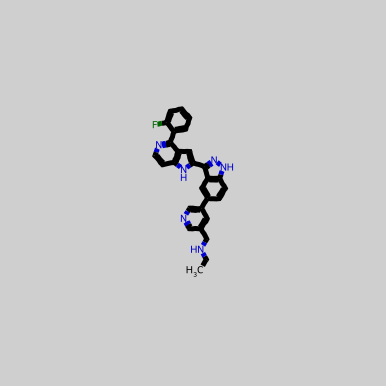 CCNCc1cncc(-c2ccc3[nH]nc(-c4cc5c(-c6ccccc6F)nccc5[nH]4)c3c2)c1